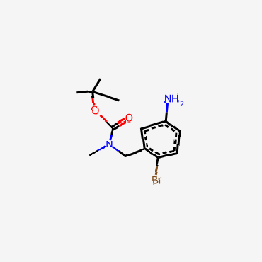 CN(Cc1cc(N)ccc1Br)C(=O)OC(C)(C)C